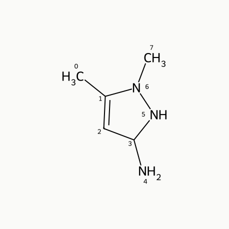 CC1=CC(N)NN1C